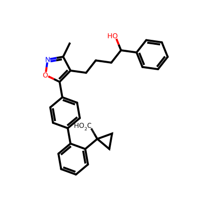 Cc1noc(-c2ccc(-c3ccccc3C3(C(=O)O)CC3)cc2)c1CCCC(O)c1ccccc1